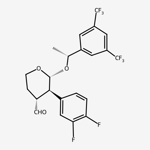 C[C@@H](O[C@H]1OCC[C@@H](C=O)[C@@H]1c1ccc(F)c(F)c1)c1cc(C(F)(F)F)cc(C(F)(F)F)c1